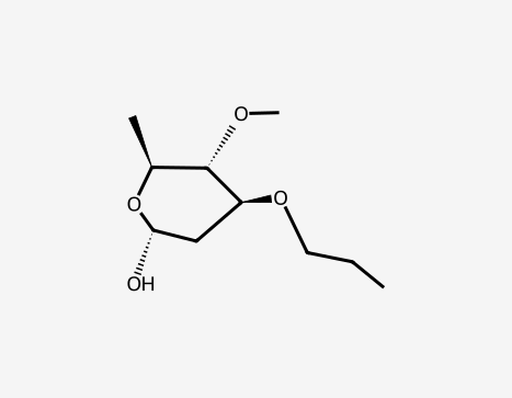 CCCO[C@H]1C[C@H](O)O[C@@H](C)[C@@H]1OC